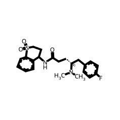 CN(C)[C@H](CCC(=O)NC1CCS(=O)(=O)c2ccccc21)Cc1ccc(F)cc1